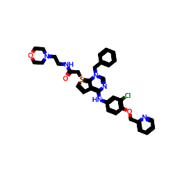 O=C(CS1=C2C(=C(Nc3ccc(OCc4ccccn4)c(Cl)c3)N=CN2Cc2ccccc2)C=C1)NCCN1CCOCC1